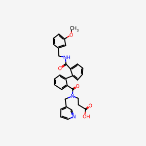 COc1cccc(CNC(=O)c2ccccc2-c2ccccc2C(=O)N(CCC(=O)O)Cc2cccnc2)c1